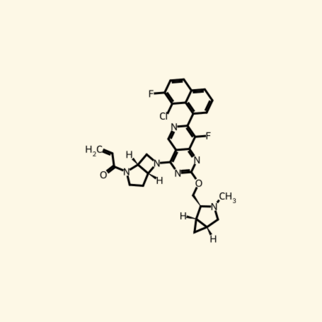 C=CC(=O)N1CC[C@@H]2[C@H]1CN2c1nc(OC[C@@H]2[C@H]3C[C@H]3CN2C)nc2c(F)c(-c3cccc4ccc(F)c(Cl)c34)ncc12